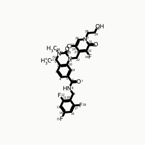 C[C@H]1c2ccc(C(=O)NCc3c(F)cc(F)cc3F)cc2N(Cc2c(Cl)cn(CCO)c(=O)c2F)C(=O)N1C